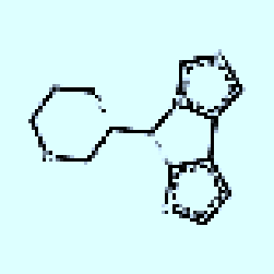 c1cc2c(s1)[C@H]([C@H]1CCCOC1)n1cncc1-2